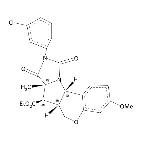 CCOC(=O)[C@@H]1[C@H]2COc3cc(OC)ccc3[C@H]2N2C(=O)N(c3cccc(Cl)c3)C(=O)[C@@]12C